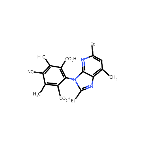 CCc1cc(C)c2nc(CC)n(-c3c(C(=O)O)c(C)c(C#N)c(C)c3C(=O)O)c2n1